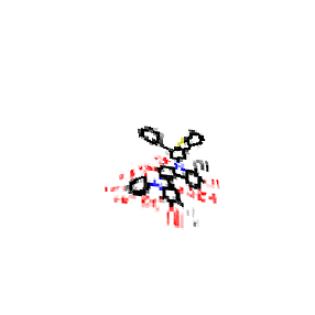 Bc1c(O)c2ooc3c(O)c(O)c(O)c4ooc5c(O)c6c(c7c(O)c(O)c(O)c(B)c7n6-c6cc(-c7ccccc7)c7sc8ccccc8c7c6)c6c(c1O)c2n(c34)c56